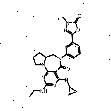 CCNc1nc(NC2CC2)c2c(n1)N1CCCC1CN(c1cccc(-c3nn(C)c(=O)o3)c1)C2=O